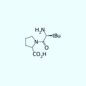 CC(C)(C)[C@H](N)C(=O)N1CCCC1C(=O)O